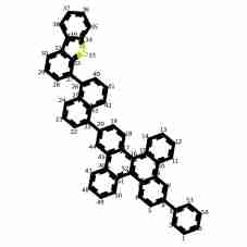 c1ccc(-c2ccc3c(c2)c2ccccc2c2c4ccc(-c5cccc6c(-c7cccc8c7sc7ccccc78)cccc56)cc4c4ccccc4c32)cc1